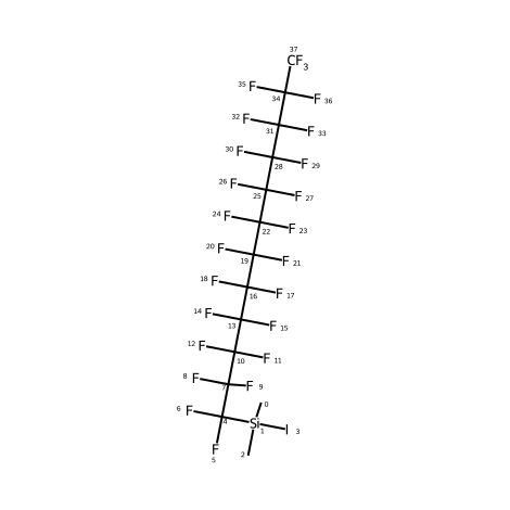 C[Si](C)(I)C(F)(F)C(F)(F)C(F)(F)C(F)(F)C(F)(F)C(F)(F)C(F)(F)C(F)(F)C(F)(F)C(F)(F)C(F)(F)C(F)(F)F